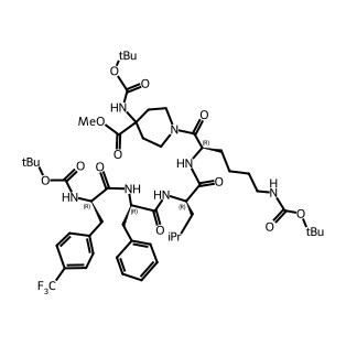 COC(=O)C1(NC(=O)OC(C)(C)C)CCN(C(=O)[C@@H](CCCCNC(=O)OC(C)(C)C)NC(=O)[C@@H](CC(C)C)NC(=O)[C@@H](Cc2ccccc2)NC(=O)[C@@H](Cc2ccc(C(F)(F)F)cc2)NC(=O)OC(C)(C)C)CC1